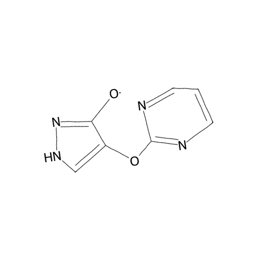 [O]c1n[nH]cc1Oc1ncccn1